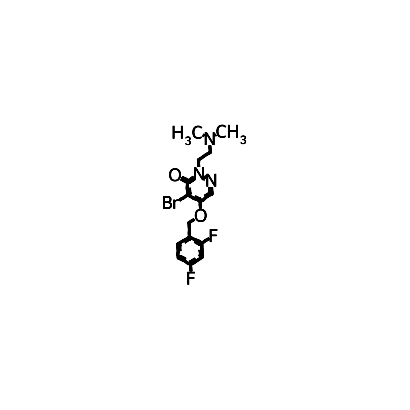 CN(C)CCn1ncc(OCc2ccc(F)cc2F)c(Br)c1=O